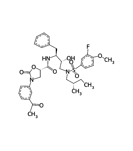 CC[C@H](C)CN(C[C@@H](O)[C@H](Cc1ccccc1)NC(=O)[C@@H]1CN(c2cccc(C(C)=O)c2)C(=O)O1)S(=O)(=O)c1ccc(OC)c(F)c1